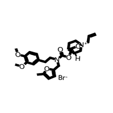 C=CC[N+]12CCC(CC1)[C@@H](OC(=O)N(CCc1ccc(OC)c(OC)c1)Cc1ccc(C)o1)C2.[Br-]